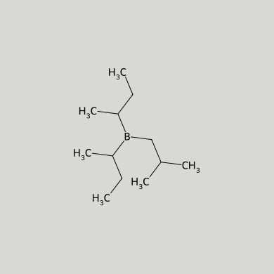 CCC(C)B(CC(C)C)C(C)CC